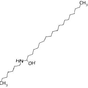 CCCCCCCCCCCCCCCCCCCC(O)NCCCCCCC